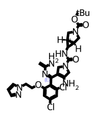 C=C(N)/N=C(\C1=C(N)CN(C(=O)NC2[C@H]3CN(C(=O)OC(C)(C)C)C[C@@H]23)C1)c1c(Cl)cc(Cl)cc1OCCn1cccn1